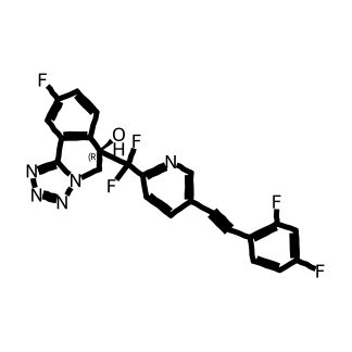 O[C@@]1(C(F)(F)c2ccc(C#Cc3ccc(F)cc3F)cn2)Cn2nnnc2-c2cc(F)ccc21